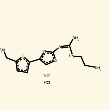 CCCNC(N)=Nc1nc(-c2ccc(CN)o2)cs1.Cl.Cl